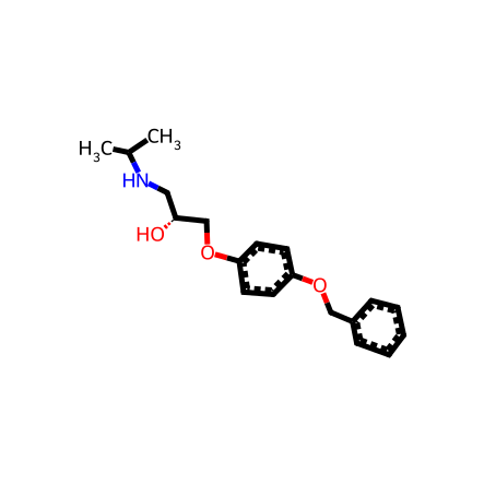 CC(C)NC[C@@H](O)COc1ccc(OCc2ccccc2)cc1